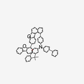 CC1(C)c2ccccc2-c2ccc(N(c3ccc(-c4ccccc4)cc3)c3ccc(-c4cccc5ccc6oc7cc(-c8cccc9c8oc8ccccc89)ccc7c6c45)cc3)cc21